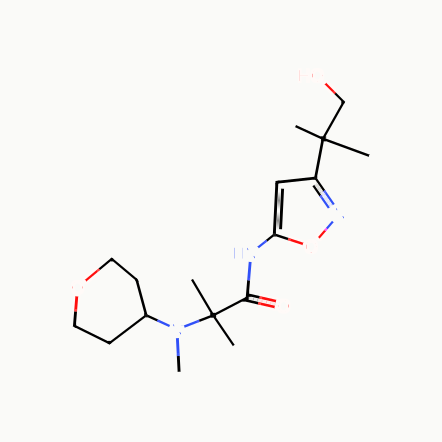 CN(C1CCOCC1)C(C)(C)C(=O)Nc1cc(C(C)(C)CO)no1